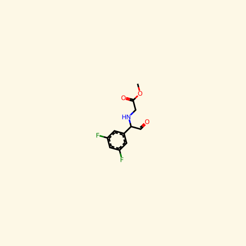 COC(=O)CNC(C=O)c1cc(F)cc(F)c1